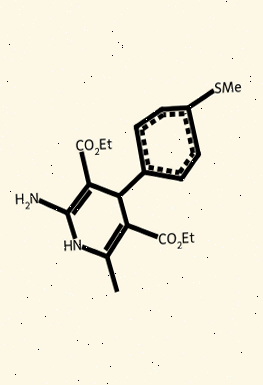 CCOC(=O)C1=C(C)NC(N)=C(C(=O)OCC)C1c1ccc(SC)cc1